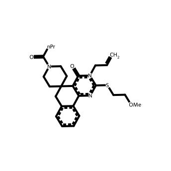 C=CCn1c(SCCOC)nc2c(c1=O)C1(CCN(C(=O)CCC)CC1)Cc1ccccc1-2